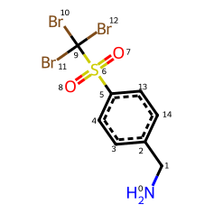 NCc1ccc(S(=O)(=O)C(Br)(Br)Br)cc1